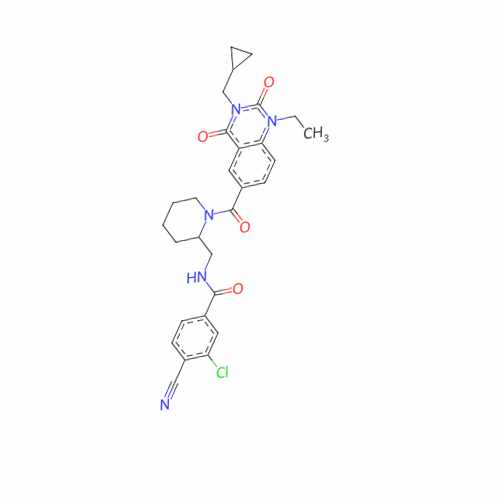 CCn1c(=O)n(CC2CC2)c(=O)c2cc(C(=O)N3CCCCC3CNC(=O)c3ccc(C#N)c(Cl)c3)ccc21